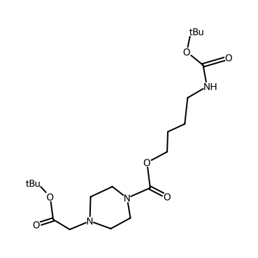 CC(C)(C)OC(=O)CN1CCN(C(=O)OCCCCNC(=O)OC(C)(C)C)CC1